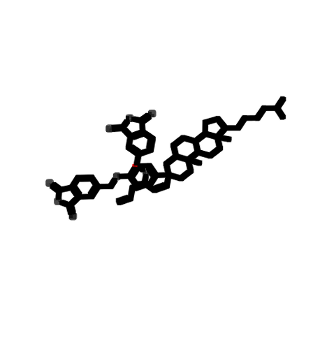 C=C/C=C(\C=C/C1(c2ccc(OCc3ccc4c(c3)C(=O)OC4=O)cc2)CCC2(C)C(CCC3C4CCC(CCCCC(C)C)C4(C)CCC32)C1)OCc1ccc2c(c1)C(=O)OC2=O